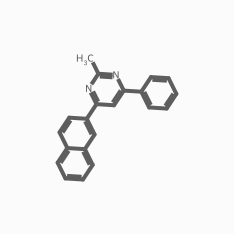 Cc1nc(-c2ccccc2)cc(-c2ccc3ccccc3c2)n1